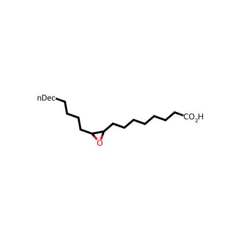 CCCCCCCCCCCCCCC1OC1CCCCCCCC(=O)O